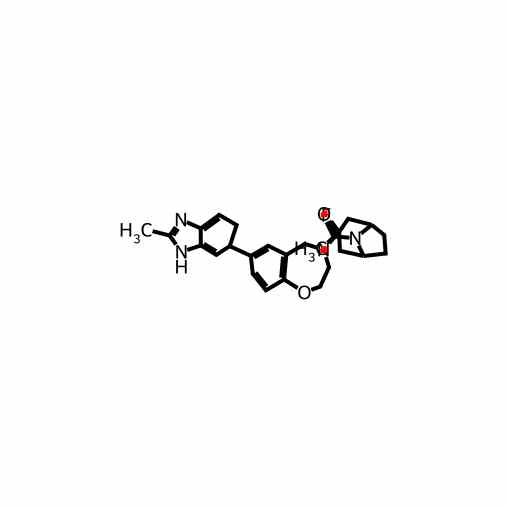 Cc1nc2c([nH]1)=CC(c1ccc3c(c1)CN(C(=O)N1C4CCC1CC(C)(F)C4)CCO3)CC=2